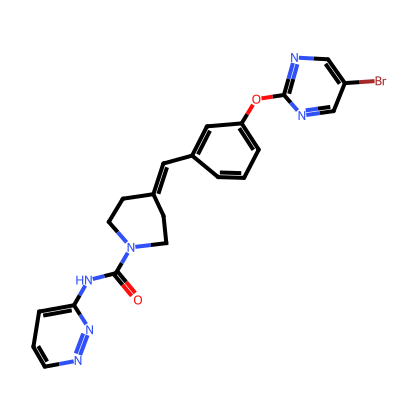 O=C(Nc1cccnn1)N1CCC(=Cc2cccc(Oc3ncc(Br)cn3)c2)CC1